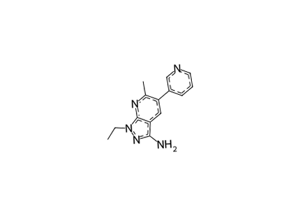 CCn1nc(N)c2cc(-c3cccnc3)c(C)nc21